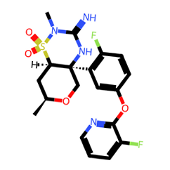 C[C@H]1C[C@@H]2[C@](c3cc(Oc4ncccc4F)ccc3F)(CO1)NC(=N)N(C)S2(=O)=O